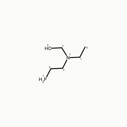 CCN(CO)CCP